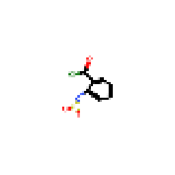 O=C(Cl)c1ccccc1N=S(=O)=O